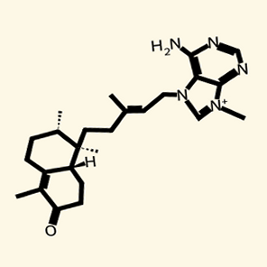 CC1=C2CC[C@H](C)[C@@](C)(CC/C(C)=C/Cn3c[n+](C)c4ncnc(N)c43)[C@@H]2CCC1=O